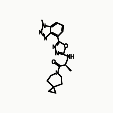 C[C@H](Nc1nnc(-c2cccc3c2nnn3C)o1)C(=O)N1CCC2(CC1)CC2